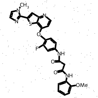 COc1ccccc1NC(=O)CC(=O)Nc1ccc(Oc2ccnc3cc(-c4nccn4C)sc23)c(F)c1